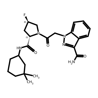 CC1(C)CCCC(NC(=O)[C@@H]2C[C@@H](F)CN2C(=O)Cn2nc(C(N)=O)c3ccccc32)C1